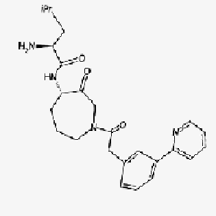 CC(C)C[C@H](N)C(=O)N[C@H]1CCCN(C(=O)Cc2cccc(-c3ccccn3)c2)CC1=O